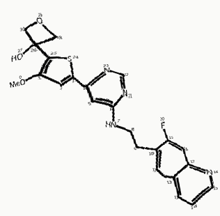 COc1cc(-c2cc(NCCc3cc4cccnc4cc3F)ncn2)sc1C1(O)COC1